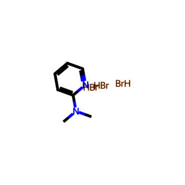 Br.Br.Br.CN(C)c1ccccn1